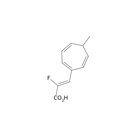 CC1C=CC=C(/C=C(\F)C(=O)O)C=C1